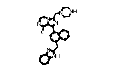 Clc1nccn2c(CN3CCNCC3)nc(-c3ccc(Cc4nc5ccccc5[nH]4)c4ccccc34)c12